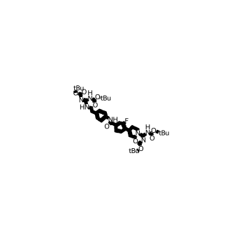 CC(C)(C)OC(=O)/N=C(/NCCc1ccc(NC(=O)c2ccc(C3=CCN(/C(=N\C(=O)OC(C)(C)C)NC(=O)OC(C)(C)C)CC3)c(F)c2)cc1)NC(=O)OC(C)(C)C